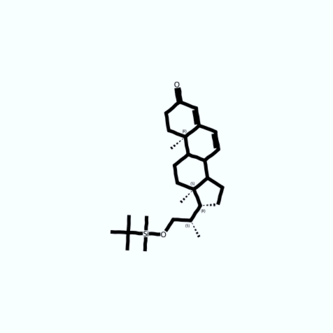 C[C@H](CO[Si](C)(C)C(C)(C)C)[C@H]1CCC2C3C=CC4=CC(=O)CC[C@]4(C)C3CC[C@@]21C